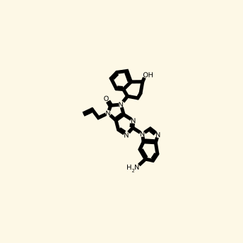 C=CCn1c(=O)n(C2CCC(O)c3ccccc32)c2nc(-n3cnc4ccc(N)cc43)ncc21